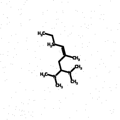 CC[SiH2]C=C(C)CC(N(C)C)N(C)C